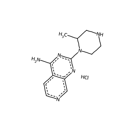 CC1CNCCN1c1nc(N)c2ccncc2n1.Cl